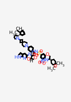 COC1(C)CCC([C@@H]2COc3cc(S(=O)(=O)NC(=O)c4ccc(N5CCC6(CC5)CC(N5CCC[C@H]5c5ccccc5C(C)C)C6)cc4N4c5cc6cc[nH]c6nc5O[C@@H]5COC[C@H]54)cc([N+](=O)[O-])c3N2)CC1